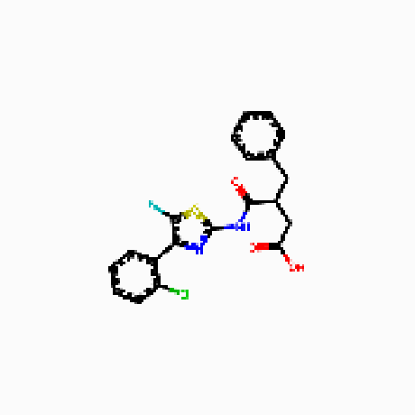 O=C(O)CC(Cc1ccccc1)C(=O)Nc1nc(-c2ccccc2Cl)c(F)s1